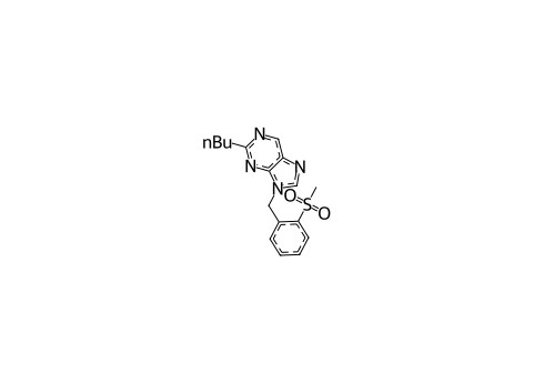 CCCCc1ncc2ncn(Cc3ccccc3S(C)(=O)=O)c2n1